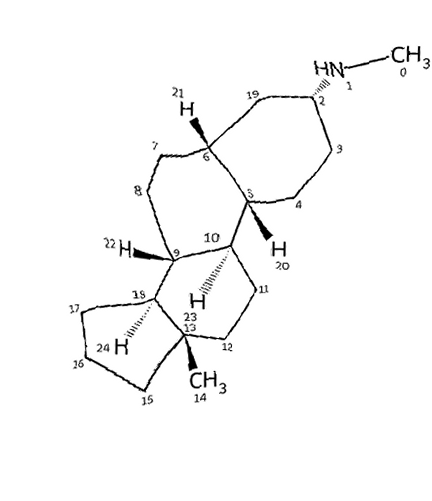 CN[C@@H]1CC[C@H]2[C@H](CC[C@@H]3[C@@H]2CC[C@]2(C)CCC[C@@H]32)C1